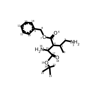 CC(CN)C(C(=O)OCc1ccccc1)C(N)C(=O)OC(C)(C)C